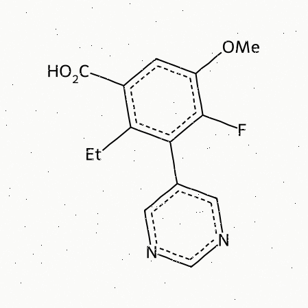 CCc1c(C(=O)O)cc(OC)c(F)c1-c1cncnc1